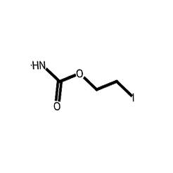 [NH]C(=O)OCCI